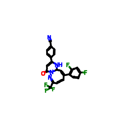 N#Cc1ccc(C2=CC(=O)N3N=C(C(F)(F)F)C=CC(c4ccc(F)cc4F)=CC3N2)cc1